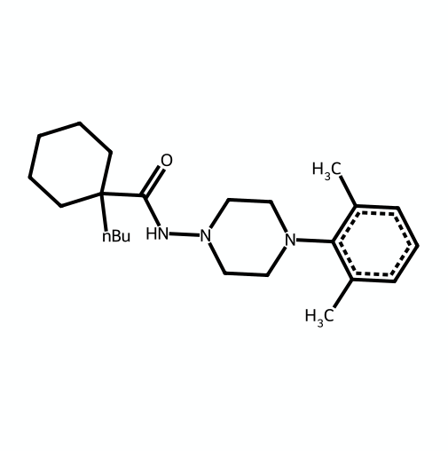 CCCCC1(C(=O)NN2CCN(c3c(C)cccc3C)CC2)CCCCC1